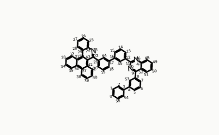 c1ccc(-c2cccc(-c3nc(-c4cccc(-c5cccc(-c6nc7ccccc7c7c8ccccc8c8ccccc8c67)c5)c4)nc4ccccc34)c2)cc1